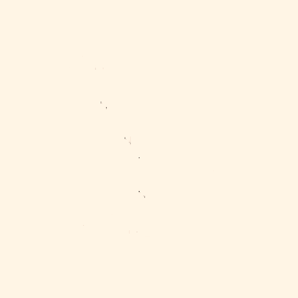 CCOC(=O)C(ON=C(c1ccc(Cl)cc1)C(C)(C)N1CCN(C2COCO2)CC1)C(=O)OCC